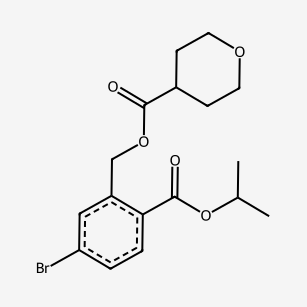 CC(C)OC(=O)c1ccc(Br)cc1COC(=O)C1CCOCC1